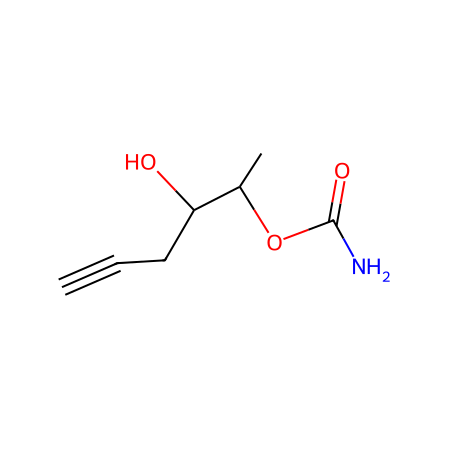 C#CCC(O)C(C)OC(N)=O